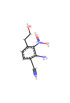 N#Cc1ccc(CCO)c([N+](=O)[O-])c1N